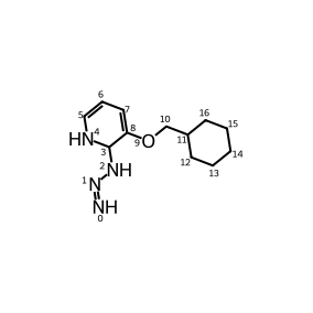 N=NNC1NC=CC=C1OCC1CCCCC1